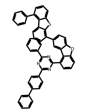 c1ccc(-c2ccc(-c3nc(-c4ccccc4)nc(-c4cccc5oc6ccc(-c7cccc8c7sc7cccc(-c9ccccc9)c78)cc6c45)n3)cc2)cc1